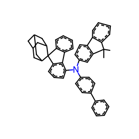 CC1(C)c2ccccc2-c2ccc(N(c3ccc(-c4ccccc4)cc3)c3cccc4c3-c3ccccc3C43C4CC5CC(C4)CC3C5)cc21